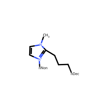 CCCCCCCCCCCCCc1n(C)cc[n+]1CCCCCCCCC